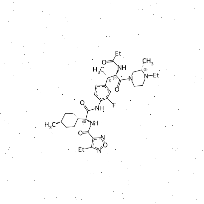 CCC(=O)N[C@@H](C(=O)N1CCN(CC)[C@@H](C)C1)[C@@H](C)c1ccc(NC(=O)[C@@H](NC(=O)c2nonc2CC)[C@H]2CC[C@H](C)CC2)c(F)c1